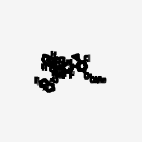 COCOc1cc(Cl)c(C2CC2)c(-c2nc3c4c(nc(OC[C@]56CCCN5C[C@H](F)C6)nc4c2F)N2C[C@H]4CC[C@@H]([C@H]2CO3)N4C(=O)OC(C)(C)C)c1